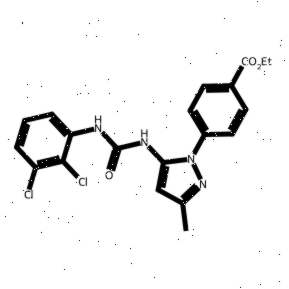 CCOC(=O)c1ccc(-n2nc(C)cc2NC(=O)Nc2cccc(Cl)c2Cl)cc1